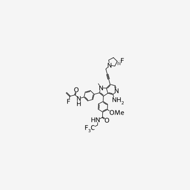 C=C(F)C(=O)Nc1ccc(-c2c(-c3ccc(C(=O)NCC(F)(F)F)c(OC)c3)c3c(N)ncc(C#CCN4CC[C@H](F)C4)c3n2C)cc1